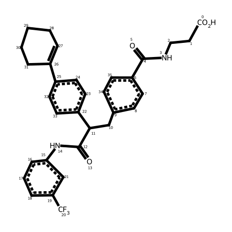 O=C(O)CCNC(=O)c1ccc(CC(C(=O)Nc2cccc(C(F)(F)F)c2)c2ccc(C3=CCCCC3)cc2)cc1